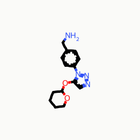 NCc1ccc(-n2nncc2OC2CCCCO2)cc1